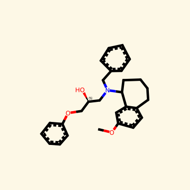 COc1ccc2c(c1)C(N(Cc1ccccc1)C[C@H](O)COc1ccccc1)CCCC2